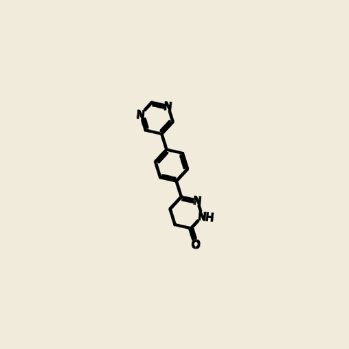 O=C1CCC(c2ccc(-c3cncnc3)cc2)=NN1